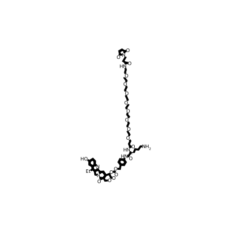 CCc1c2c(nc3ccc(O)cc13)-c1cc3c(c(=O)n1C2)COC(=O)[C@H]3OC(=O)OCc1ccc(NC(=O)[C@H](CCCCN)NC(=O)CCOCCOCCOCCOCCOCCOCCOCCOCCNC(=O)CCN2C(=O)C=CC2=O)cc1